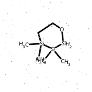 C[Si]1(C)CCO[SiH2][Si]1(C)C